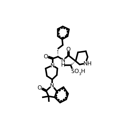 CC([C@]1(C(=O)N[C@@H](CCc2ccccc2)C(=O)N2CCC(N3C(=O)C(C)(C)c4ccccc43)CC2)CCCNC1)S(=O)(=O)O